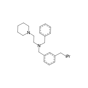 CC(C)Cc1cccc(CN(CCN2CCCCC2)Cc2ccccc2)c1